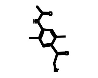 CC(=O)Nc1cc(C)c(C(=O)CBr)cc1C